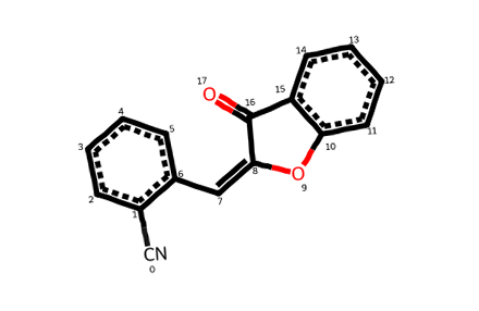 N#Cc1ccccc1C=C1Oc2ccccc2C1=O